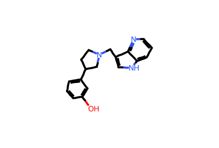 Oc1cccc(C2CCN(Cc3c[nH]c4cccnc34)C2)c1